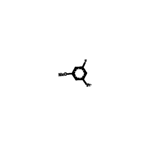 COc1cc(F)cc([C](C)C)c1